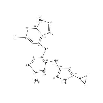 Nc1ncc(Cc2cc(Cl)cc3[nH]cnc23)c(Nc2cc(C3CC3)[nH]n2)n1